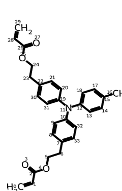 C=CC(=O)OCCc1ccc(N(c2ccc(C)cc2)c2ccc(CCOC(=O)C=C)cc2)cc1